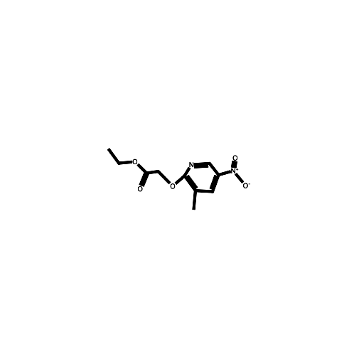 CCOC(=O)COc1ncc([N+](=O)[O-])cc1C